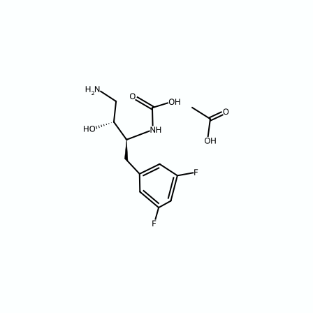 CC(=O)O.NC[C@@H](O)[C@H](Cc1cc(F)cc(F)c1)NC(=O)O